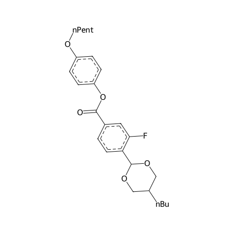 CCCCCOc1ccc(OC(=O)c2ccc(C3OCC(CCCC)CO3)c(F)c2)cc1